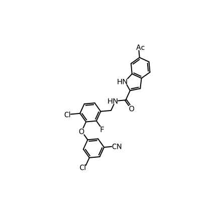 CC(=O)c1ccc2cc(C(=O)NCc3ccc(Cl)c(Oc4cc(Cl)cc(C#N)c4)c3F)[nH]c2c1